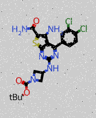 CC(C)(C)OC(=O)N1CC(Nc2nc(-c3ccc(Cl)c(Cl)c3)c3c(N)c(C(N)=O)sc3n2)C1